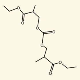 CCOC(=O)C(C)COC(=O)OCC(C)C(=O)OCC